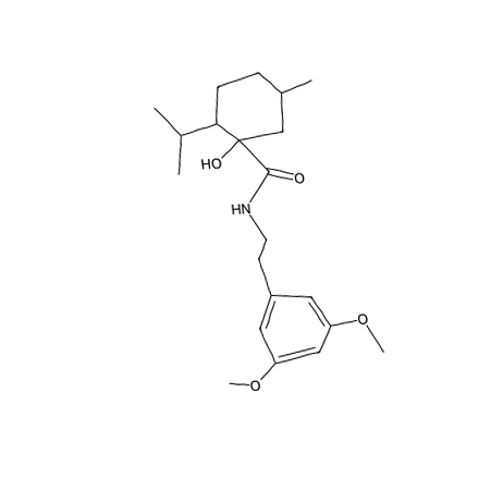 COc1cc(CCNC(=O)C2(O)CC(C)CCC2C(C)C)cc(OC)c1